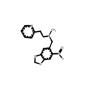 CN(CCc1ccccn1)Cc1cc2c(cc1[N+](=O)[O-])OCO2